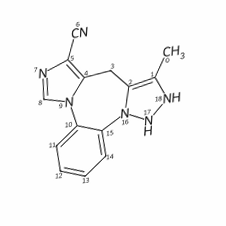 CC1=C2Cc3c(C#N)ncn3-c3ccccc3N2NN1